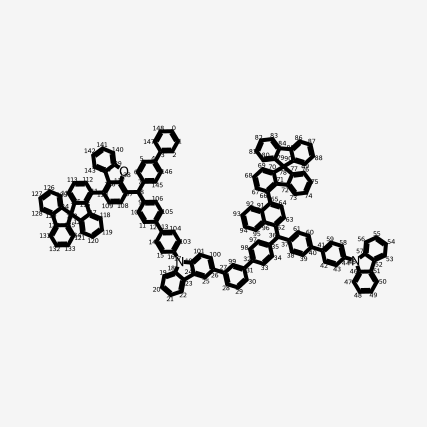 c1ccc(-c2ccc(C(c3ccc(-c4ccc(-n5c6ccccc6c6cc(-c7cccc(-c8ccc(C(c9ccc(-c%10ccc(-n%11c%12ccccc%12c%12ccccc%12%11)cc%10)cc9)c9ccc(-c%10cccc%11c%10-c%10ccccc%10C%11%10c%11ccccc%11-c%11ccccc%11%10)c%10ccccc9%10)cc8)c7)ccc65)cc4)cc3)c3ccc(-c4cccc5c4-c4ccccc4C54c5ccccc5-c5ccccc54)c4c3oc3ccccc34)cc2)cc1